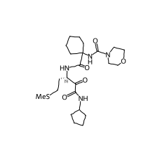 CSCC[C@H](NC(=O)C1(NC(=O)N2CCOCC2)CCCCC1)C(=O)C(=O)NC1CCCC1